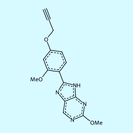 C#CCOc1ccc(-c2nc3cnc(OC)nc3[nH]2)c(OC)c1